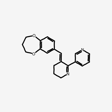 C(=C1CCCN=C1c1cccnc1)c1ccc2c(c1)OCCCO2